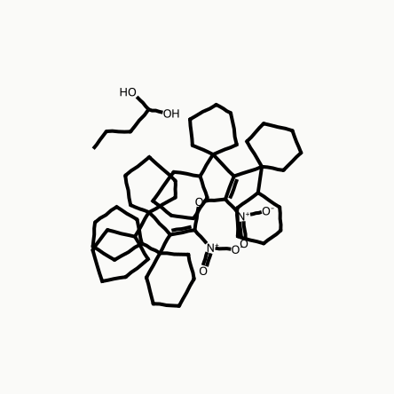 CCCC(O)O.O=[N+]([O-])C(OC(=C(C1(C2CCCCC2)CCCCC1)C1(C2CCCCC2)CCCCC1)[N+](=O)[O-])=C(C1(C2CCCCC2)CCCCC1)C1(C2CCCCC2)CCCCC1